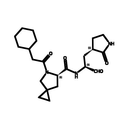 O=C[C@H](C[C@@H]1CCNC1=O)NC(=O)[C@@H]1CC2(CC2)CN1C(=O)CC1CCCCC1